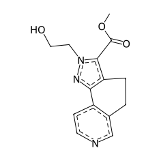 COC(=O)c1c2c(nn1CCO)-c1ccncc1CC2